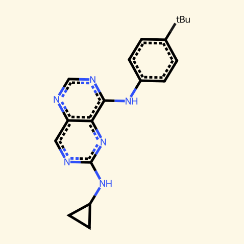 CC(C)(C)c1ccc(Nc2ncnc3cnc(NC4CC4)nc23)cc1